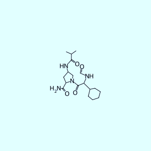 CC(C)C(=O)NC1CC(C(N)=O)N(C(=O)C(NC=O)C2CCCCC2)C1